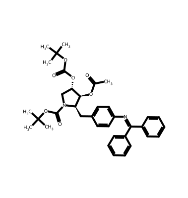 CC(=O)O[C@@H]1[C@@H](OC(=O)OC(C)(C)C)CN(C(=O)OC(C)(C)C)[C@@H]1Cc1ccc(N=C(c2ccccc2)c2ccccc2)cc1